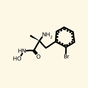 C[C@@](N)(Cc1ccccc1Br)C(=O)NO